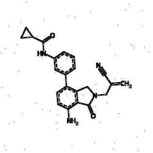 C=C(C#N)CN1Cc2c(-c3cccc(NC(=O)C4CC4)c3)ccc(N)c2C1=O